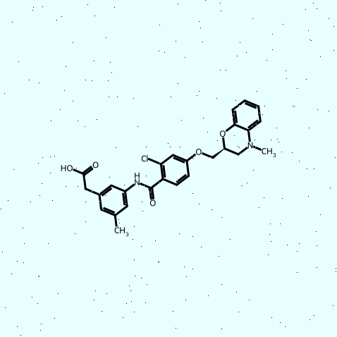 Cc1cc(CC(=O)O)cc(NC(=O)c2ccc(OC[C@@H]3CN(C)c4ccccc4O3)cc2Cl)c1